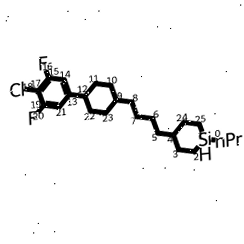 CCC[SiH]1CCC(CCCCC2CCC(c3cc(F)c(Cl)c(F)c3)CC2)CC1